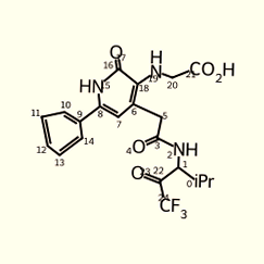 CC(C)C(NC(=O)Cc1cc(-c2ccccc2)[nH]c(=O)c1NCC(=O)O)C(=O)C(F)(F)F